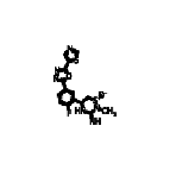 CN1C(=N)NC(c2cc(-c3nnc(-c4cncs4)o3)ccc2F)C[S+]1[O-]